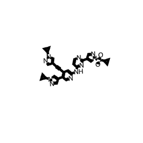 O=S(=O)(C1CC1)n1cc(-c2nccc(Nc3cc(C#Cc4cnn(C5CC5)c4)c(-c4cnn(C5CC5)c4)cn3)n2)cn1